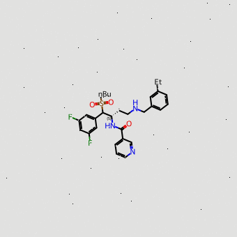 CCCCS(=O)(=O)C(c1cc(F)cc(F)c1)[C@H]([CH]CNCc1cccc(CC)c1)NC(=O)c1cccnc1